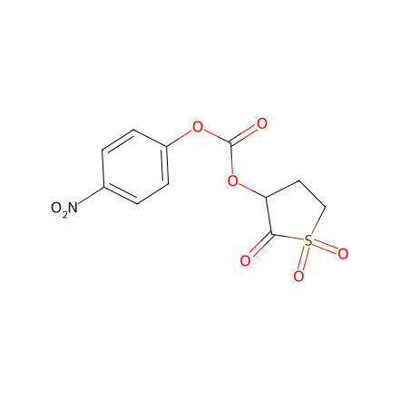 O=C(Oc1ccc([N+](=O)[O-])cc1)OC1CCS(=O)(=O)C1=O